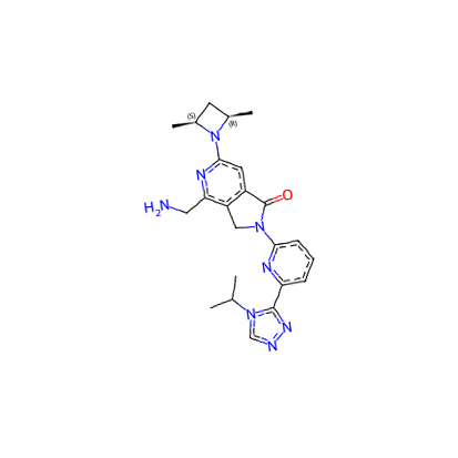 CC(C)n1cnnc1-c1cccc(N2Cc3c(cc(N4[C@H](C)C[C@@H]4C)nc3CN)C2=O)n1